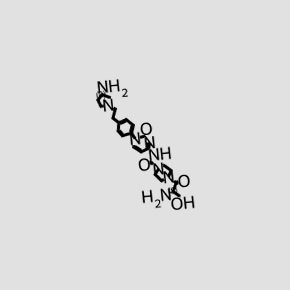 N[C@@H]1CCN(CCc2ccc(-n3ccc(NC(=O)N4CCN(C(=O)[C@@H](N)CO)CC4)nc3=O)cc2)C1